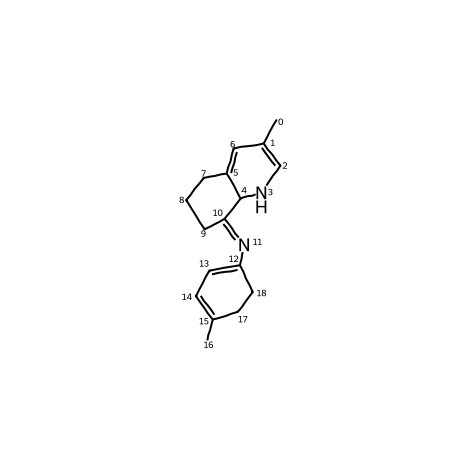 CC1=CNC2C(=C1)CCCC2=NC1=CC=C(C)CC1